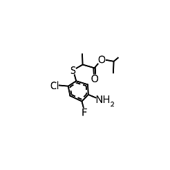 CC(C)OC(=O)C(C)Sc1cc(N)c(F)cc1Cl